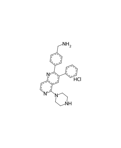 Cl.NCc1ccc(-c2nc3ccnc(N4CCNCC4)c3cc2-c2ccccc2)cc1